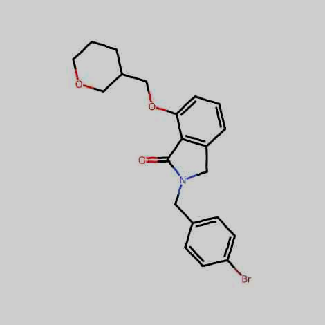 O=C1c2c(cccc2OCC2CCCOC2)CN1Cc1ccc(Br)cc1